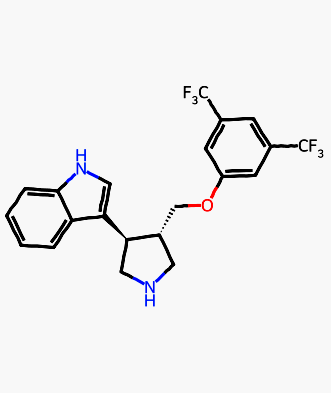 FC(F)(F)c1cc(OC[C@@H]2CNC[C@H]2c2c[nH]c3ccccc23)cc(C(F)(F)F)c1